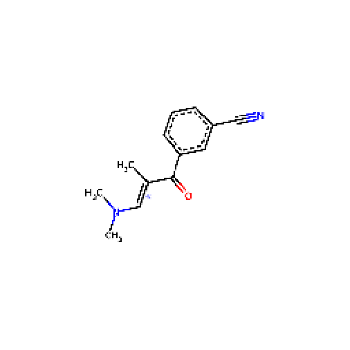 C/C(=C\N(C)C)C(=O)c1cccc(C#N)c1